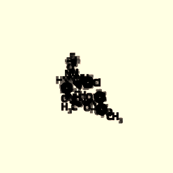 COc1cccc(-c2ccccc2NC(=O)C(=O)NCC(C)(C)CNC(=O)c2ccc(Nc3nc(NC4(c5ccc(Cl)cc5)CC4)nc(OCC(F)(F)F)n3)cc2)c1